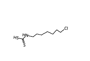 S=C(S)NCCCCCCCCl